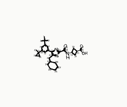 CC(C)(C)c1cc(-c2nc(C(=O)N[C@H]3C[C@H](C(=O)O)C3)sc2CC2CCCCC2)cc(C2(C)CC2)c1